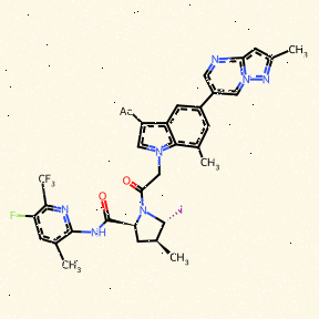 CC(=O)c1cn(CC(=O)N2[C@H](I)[C@@H](C)C[C@H]2C(=O)Nc2nc(C(F)(F)F)c(F)cc2C)c2c(C)cc(-c3cnc4cc(C)nn4c3)cc12